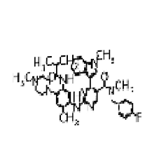 C=C(C)C(=O)Nc1cc(Nc2ncc(C(=O)N(C)Cc3ccc(F)cc3)c(-c3cn(C)c4ccccc34)n2)c(C)cc1N1CCN(C)CC1